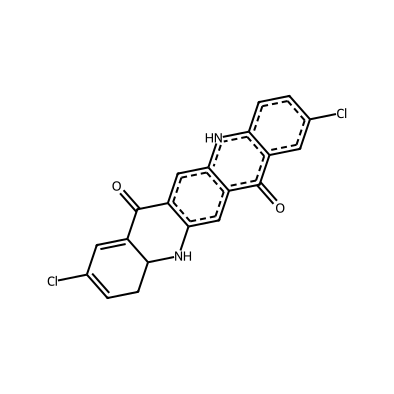 O=C1C2=CC(Cl)=CCC2Nc2cc3c(=O)c4cc(Cl)ccc4[nH]c3cc21